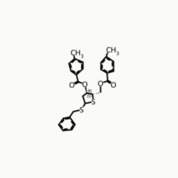 Cc1ccc(C(=O)OC[C@@H]2SC(SCc3ccccc3)C[C@H]2OC(=O)c2ccc(C)cc2)cc1